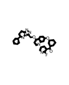 O=C(c1cccc(Oc2ccc3c(OCc4nnc5ccc(-c6ccccc6)nn45)ccnc3c2)c1)c1cccnc1F